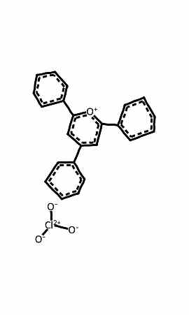 [O-][Cl+2]([O-])[O-].c1ccc(-c2cc(-c3ccccc3)[o+]c(-c3ccccc3)c2)cc1